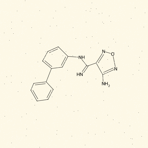 N=C(Nc1cccc(-c2ccccc2)c1)c1nonc1N